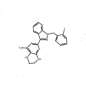 Nc1nc(-c2nn(Cc3ccccc3F)c3ncccc23)nc2c1NCCN2